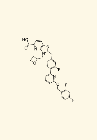 O=C(O)c1ccc2nc(Cc3ccc(-c4cccc(OCc5ccc(F)cc5F)n4)c(F)c3)n(CC3CCO3)c2n1